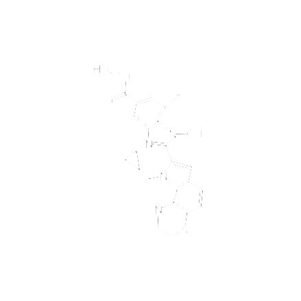 COC(=O)c1cc(F)c2c(c1)nc(-c1cc3ccc4c(c3n1CC1CC1)NCCS4)n2C